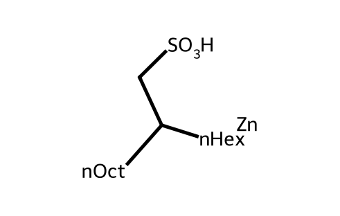 CCCCCCCCC(CCCCCC)CS(=O)(=O)O.[Zn]